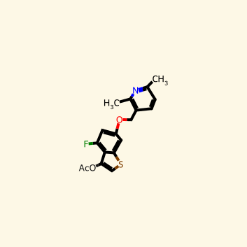 CC(=O)Oc1csc2cc(OCc3ccc(C)nc3C)cc(F)c12